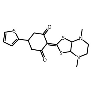 CN1CCN(C)C2SC(=C3C(=O)CC(c4cccs4)CC3=O)SC21